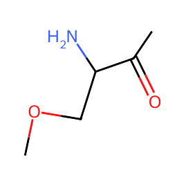 COCC(N)C(C)=O